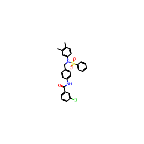 Cc1ccc(N(Cc2ccc(NC(=O)c3cccc(Cl)c3)cc2)S(=O)(=O)c2ccccc2)cc1C